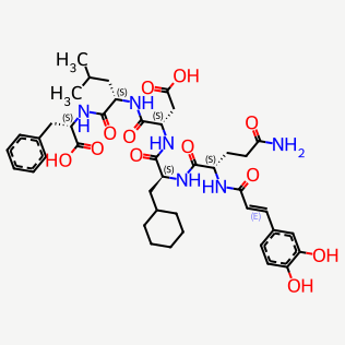 CC(C)C[C@H](NC(=O)[C@H](CC(=O)O)NC(=O)[C@H](CC1CCCCC1)NC(=O)[C@H](CCC(N)=O)NC(=O)/C=C/c1ccc(O)c(O)c1)C(=O)N[C@@H](Cc1ccccc1)C(=O)O